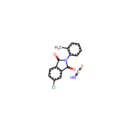 Cc1ccccc1N1C(=O)c2ccc(Cl)cc2C1=O.N=C=S